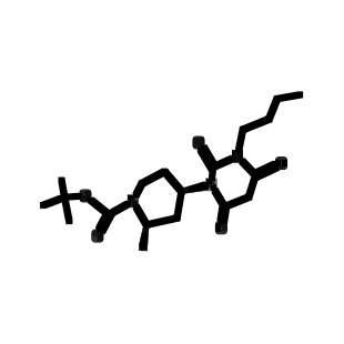 CCCCN1C(=O)CC(=O)N([C@@H]2CCN(C(=O)OC(C)(C)C)[C@H](C)C2)C1=O